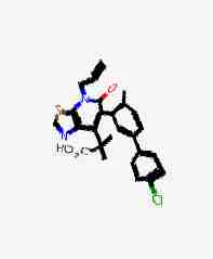 C#CCn1c(=O)c(-c2cc(-c3ccc(Cl)cc3)ccc2C)c(C(C)(C)C(=O)O)c2ncsc21